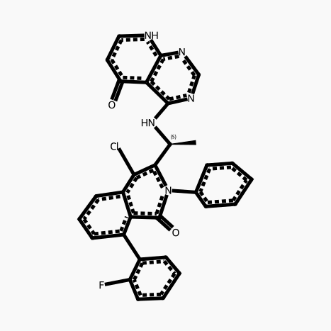 C[C@H](Nc1ncnc2[nH]ccc(=O)c12)c1c(Cl)c2cccc(-c3ccccc3F)c2c(=O)n1-c1ccccc1